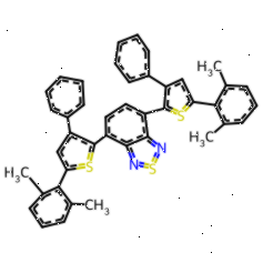 Cc1cccc(C)c1-c1cc(-c2ccccc2)c(-c2ccc(-c3sc(-c4c(C)cccc4C)cc3-c3ccccc3)c3nsnc23)s1